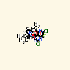 CCc1nc(Cl)c(F)c2nc(Cl)nc(N3C[C@@H]4CC[C@@](C(C)(C)C)(C3)N4C(=O)O)c12